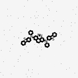 c1ccc(N(c2cc3ccc4cc(N(c5ccccc5)c5ccc6c(c5)sc5ccccc56)cc5nnc(c2)c3c45)c2ccc3c(c2)sc2ccccc23)cc1